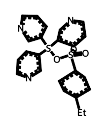 CCc1ccc(S(=O)(=O)OS(c2cccnc2)(c2cccnc2)c2cccnc2)cc1